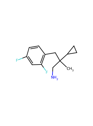 CC(CN)(Cc1ccc(F)cc1F)C1CC1